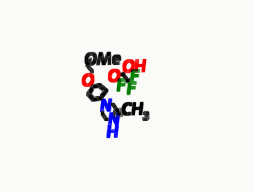 COCCOc1ccc(N2CCN[C@@H](C)C2)cc1.O=C(O)C(F)(F)F